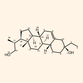 CC[C@]1(O)CC[C@H]2C(=CC[C@@H]3[C@@H]2CC[C@]2(C)[C@@H]([C@H](C)CO)CC[C@@H]32)C1